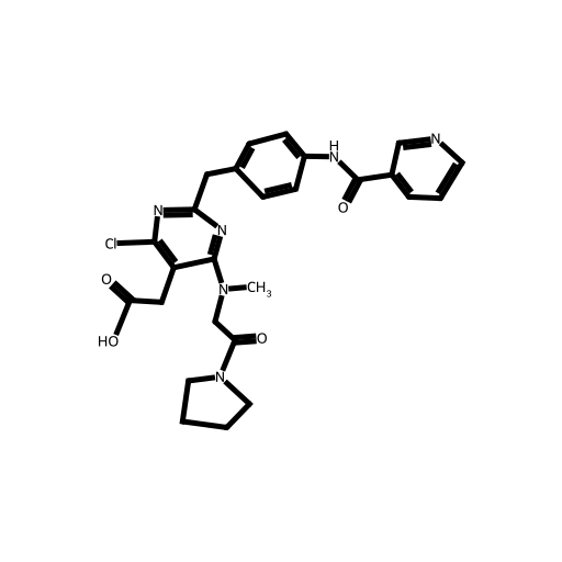 CN(CC(=O)N1CCCC1)c1nc(Cc2ccc(NC(=O)c3cccnc3)cc2)nc(Cl)c1CC(=O)O